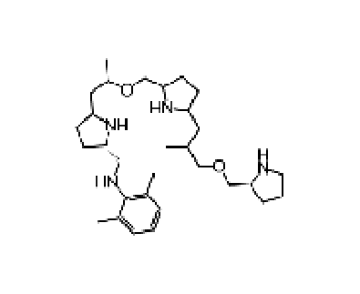 Cc1cccc(C)c1NC[C@@H]1CCC(CC(C)OCC2CCC(CC(C)COC[C@@H]3CCCN3)N2)N1